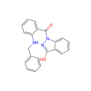 O=C(c1ccccc1NCc1ccccc1)n1nc(O)c2ccccc21